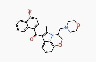 Cc1c(C(=O)c2ccc(Br)c3ccccc23)c2cccc3c2n1C(CN1CCOCC1)CO3